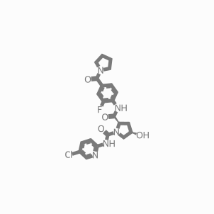 O=C(Nc1ccc(C(=O)N2CCCC2)cc1F)[C@H]1C[C@@H](O)CN1C(=O)Nc1ccc(Cl)cn1